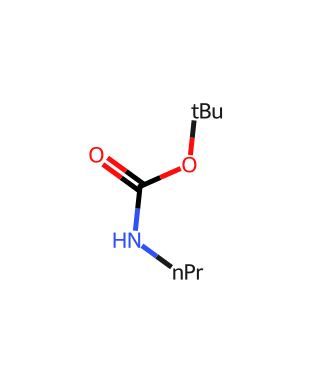 CCCNC(=O)OC(C)(C)C